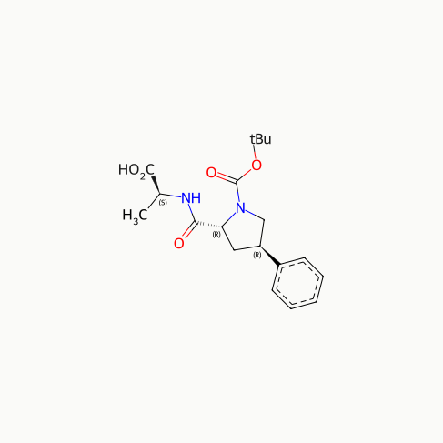 C[C@H](NC(=O)[C@H]1C[C@H](c2ccccc2)CN1C(=O)OC(C)(C)C)C(=O)O